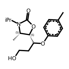 Cc1ccc(OC(CCO)[C@H]2OC(=O)N(C(C)C)[C@H]2C)cc1